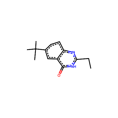 CCc1nc2ccc(C(C)(C)C)cc2c(=O)[nH]1